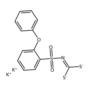 O=S(=O)(N=C([S-])[S-])c1ccccc1Oc1ccccc1.[K+].[K+]